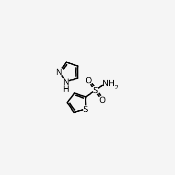 NS(=O)(=O)c1cccs1.c1cn[nH]c1